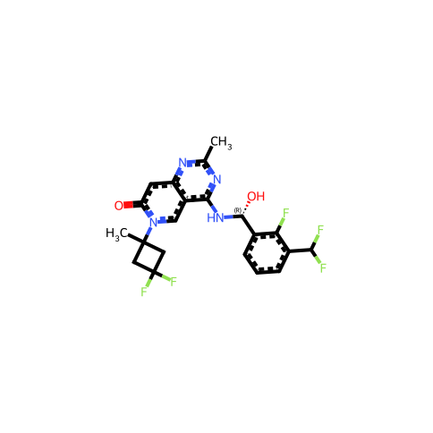 Cc1nc(N[C@H](O)c2cccc(C(F)F)c2F)c2cn(C3(C)CC(F)(F)C3)c(=O)cc2n1